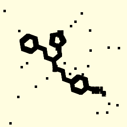 Nc1ccc(CCSC(CCc2ccccc2)Cn2ccnc2)cc1